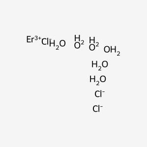 O.O.O.O.O.O.[Cl-].[Cl-].[Cl-].[Er+3]